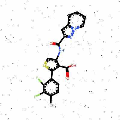 Cc1ccc(-c2scc(NC(=O)c3cc4ccccn4n3)c2C(=O)O)c(F)c1F